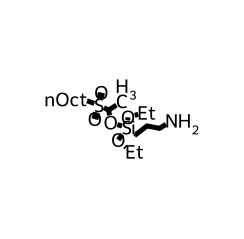 CCCCCCCCS(=O)(=O)C(C)O[Si](CCCN)(OCC)OCC